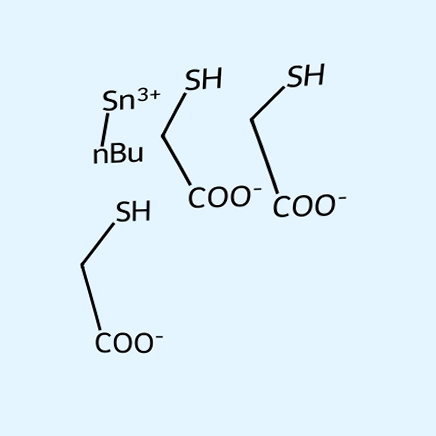 CCC[CH2][Sn+3].O=C([O-])CS.O=C([O-])CS.O=C([O-])CS